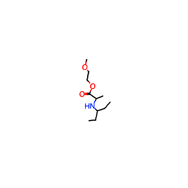 CCC(CC)NC(C)C(=O)OCCOC